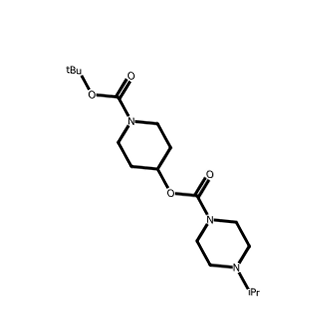 CC(C)N1CCN(C(=O)OC2CCN(C(=O)OC(C)(C)C)CC2)CC1